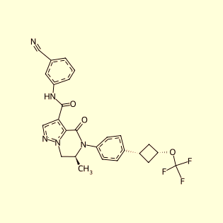 C[C@H]1Cn2ncc(C(=O)Nc3cccc(C#N)c3)c2C(=O)N1c1ccc([C@H]2C[C@@H](OC(F)(F)F)C2)cc1